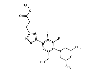 COC(=O)CCc1nnc(-c2cc(CO)c(N3CC(C)OC(C)C3)c(F)c2F)s1